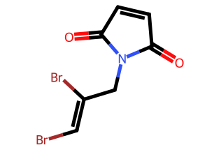 O=C1C=CC(=O)N1CC(Br)=CBr